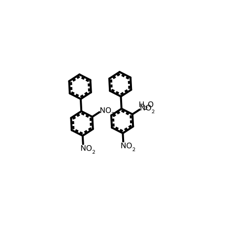 O.O=[N+]([O-])c1ccc(-c2ccccc2)c([N+](=O)[O-])c1.O=[N+]([O-])c1ccc(-c2ccccc2)c([N+](=O)[O-])c1